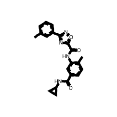 Cc1cccc(-c2noc(C(=O)Nc3cc(C(=O)NC4CC4)ccc3C)n2)c1